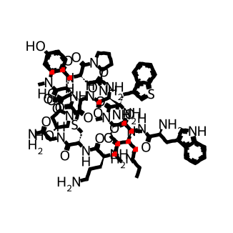 CCCC[C@@H](C(=O)N(C)[C@@H](CCCC)C(=O)N[C@@H](CCCN)C(=O)N[C@@H](CSCC(=O)N[C@@H](Cc1ccc(O)cc1)C(=O)N(C)[C@@H](C)C(=O)N[C@@H](CC(N)=O)C(=O)N1CCC[C@H]1C(=O)N[C@@H](CN)C(=O)N[C@@H](CC(=O)O)C(=O)N1C[C@H](O)C[C@H]1C=O)C(=O)NCC(N)=O)N(C)C(=O)[C@H](Cc1csc2ccccc12)NC(=O)[C@H](CCN)NC(=O)[C@@H](N)Cc1c[nH]c2ccccc12